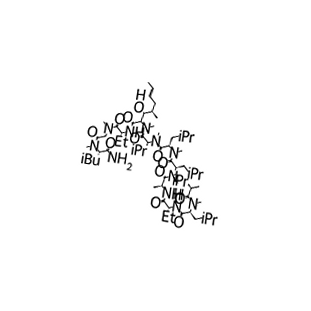 C/C=C/C[C@@H](C)[C@H](O)C(C(=O)N[C@H](CC)C(=O)N(C)CC(=O)N(C)[C@H](C(N)=O)C(C)CC)N(C)C(=O)[C@H](C(C)C)N(C)C(=O)[C@@H](CC(C)C)N(C)C(=O)[C@@H](CC(C)C)N(C)C(=O)[C@H](C)NC(=O)[C@@H](CC)NC(=O)[C@H](CC(C)C)N(C)C(=O)[C@H](C)C(C)C